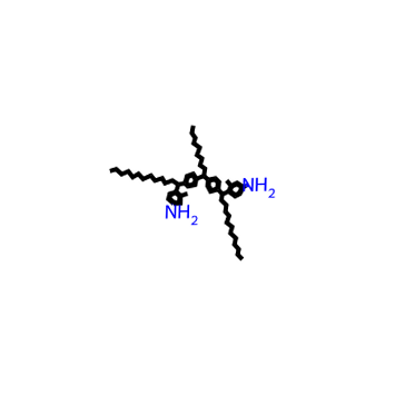 CCCCCCCCCCCCC(c1ccc(C(CCCCCCCCC)c2ccc(C(CCCCCCCCCCCC)c3ccc(N)cc3C)cc2)cc1)c1ccc(N)cc1C